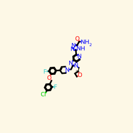 NC(=O)c1nnc(-c2cc3nc(CN4CC=C(c5ccc(F)c(OCc6ccc(Cl)cc6F)c5)CC4)n(C[C@@H]4CCO4)c3cn2)[nH]1